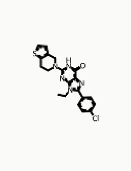 CCn1c(-c2ccc(Cl)cc2)nc2c(=O)[nH]c(N3CCc4sccc4C3)nc21